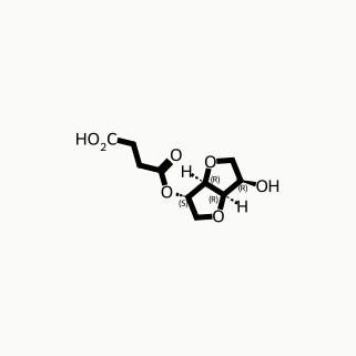 O=C(O)CCC(=O)O[C@H]1CO[C@H]2[C@@H]1OC[C@H]2O